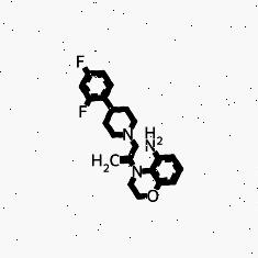 C=C(CN1CCC(c2ccc(F)cc2F)CC1)N1CCOc2cccc(N)c21